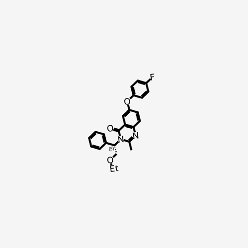 CCOC[C@H](c1ccccc1)n1c(C)nc2ccc(Oc3ccc(F)cc3)cc2c1=O